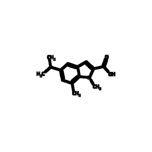 Cc1cc(C(C)C)cc2cc(C(=O)O)n(C)c12